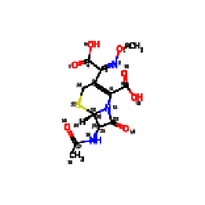 CON=C(C(=O)O)C1=C(C(=O)O)N2C(=O)[C@@H](NC(C)=O)[C@@H]2SC1